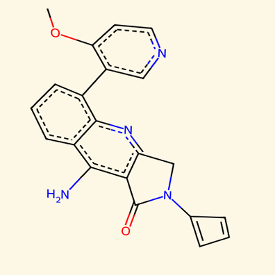 COc1ccncc1-c1cccc2c(N)c3c(nc12)CN(C1=CC=C1)C3=O